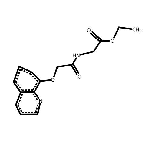 CCOC(=O)CNC(=O)COc1cccc2cccnc12